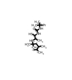 CC(I)C(C)CC(C)(C)BC(C)C(S)NC(=O)NC(C)(C)C(C)C